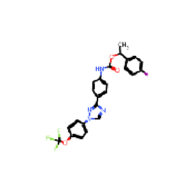 CC(OC(=O)Nc1ccc(-c2ncn(-c3ccc(OC(F)(F)F)cc3)n2)cc1)c1ccc(I)cc1